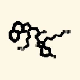 CCC(=Cc1sc2ccc(Cl)cc2c1CCCCS(=O)(=O)O)C=C1Oc2ccc3ccccc3c2N1CCCS(=O)(=O)O